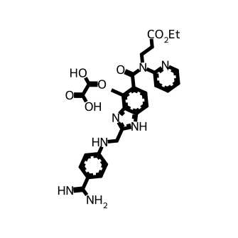 CCOC(=O)CCN(C(=O)c1ccc2[nH]c(CNc3ccc(C(=N)N)cc3)nc2c1C)c1ccccn1.O=C(O)C(=O)O